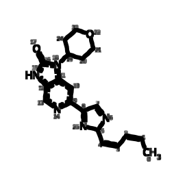 C/C=C\C=C/C1N=CC(c2cc3c(cn2)[nH]c(=O)n3C2CCOCC2)=N1